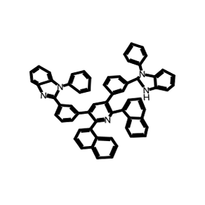 c1ccc(N2c3ccccc3NC2c2cccc(-c3cc(-c4cccc(-c5nc6ccccc6n5-c5ccccc5)c4)c(-c4cccc5ccccc45)nc3-c3cccc4ccccc34)c2)cc1